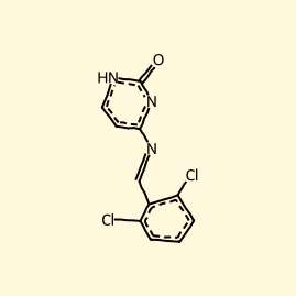 O=c1nc(N=Cc2c(Cl)cccc2Cl)cc[nH]1